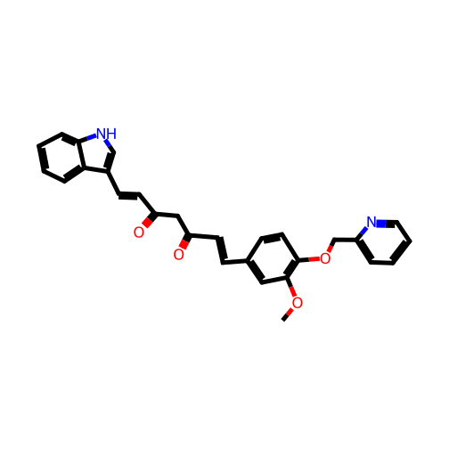 COc1cc(C=CC(=O)CC(=O)C=Cc2c[nH]c3ccccc23)ccc1OCc1ccccn1